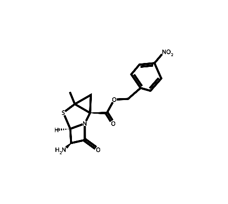 CC12C[C@]1(C(=O)OCc1ccc([N+](=O)[O-])cc1)N1C(=O)[C@@H](N)[C@H]1S2